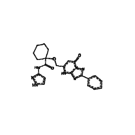 O=C(Nc1cc[nH]n1)C1(OCc2cc(=O)n3nc(-c4ccccc4)nc3[nH]2)CCCCC1